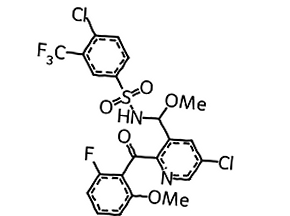 COc1cccc(F)c1C(=O)c1ncc(Cl)cc1C(NS(=O)(=O)c1ccc(Cl)c(C(F)(F)F)c1)OC